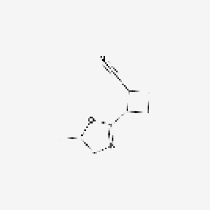 CC1CN=C(C2CCC2C#N)O1